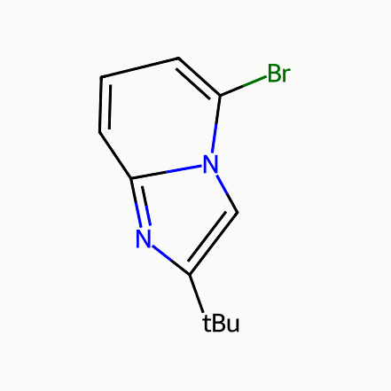 CC(C)(C)c1cn2c(Br)cccc2n1